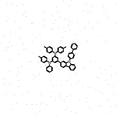 Cc1ccc(N(c2ccccc2)c2cc(-c3ccc4c5ccccc5n(-c5ccc(-c6ccccc6)cc5)c4c3)cc(N(c3ccc(C)cc3)c3ccc(C)cc3)c2)cc1